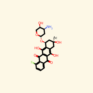 CC(=O)[C@]1(O)Cc2c(O)c3c(c(O)c2[C@@H](O[C@H]2C[C@H](N)[C@H](O)CO2)C1)C(=O)c1c(F)cccc1C3=O